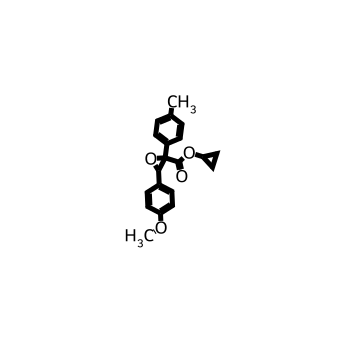 COc1ccc(C2OC2(C(=O)OC2CC2)c2ccc(C)cc2)cc1